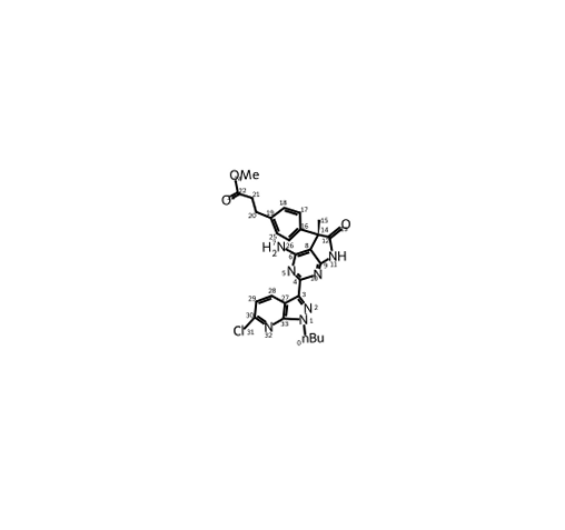 CCCCn1nc(-c2nc(N)c3c(n2)NC(=O)[C@@]3(C)c2ccc(CCC(=O)OC)cc2)c2ccc(Cl)nc21